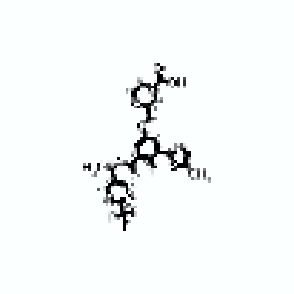 Cc1cnc(-c2cc(OCC3CN(C(=O)O)CCO3)cc(C(=O)N[C@H](C)c3cnc(C(F)(F)F)nc3)c2F)s1